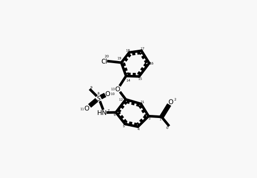 CC(=O)c1ccc(NS(C)(=O)=O)c(Oc2ccccc2Cl)c1